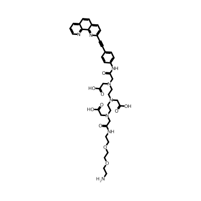 NCCOCCOCCNC(=O)CN(CCN(CCN(CC(=O)O)CC(=O)Nc1ccc(C#Cc2ccc3ccc4cccnc4c3n2)cc1)CC(=O)O)CC(=O)O